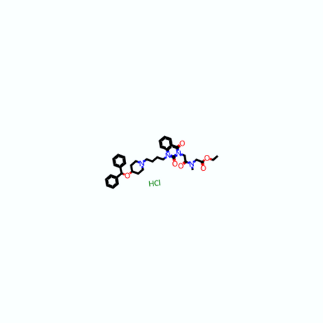 CCOC(=O)CN(C)C(=O)Cn1c(=O)c2ccccc2n(CCCCN2CCC(OC(c3ccccc3)c3ccccc3)CC2)c1=O.Cl